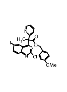 COc1ccc(COC(=O)C(C)(c2ccccn2)c2nc(Cl)nc3ccc(I)cc23)cc1